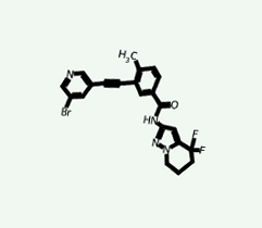 Cc1ccc(C(=O)Nc2cc3n(n2)CCCC3(F)F)cc1C#Cc1cncc(Br)c1